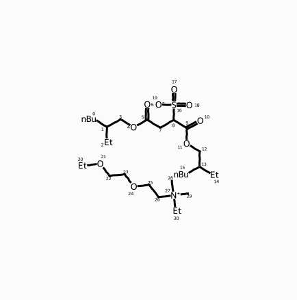 CCCCC(CC)COC(=O)CC(C(=O)OCC(CC)CCCC)S(=O)(=O)[O-].CCOCCOCC[N+](C)(C)CC